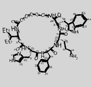 CCC(CC)C1CC(=O)N[C@@H](Cc2c[nH]cn2)C(=O)N[C@H](Cc2ccccc2)C(=O)N[C@@H](CCCN)C(=O)N[C@@H](Cc2c[nH]c3ccccc23)C(=O)NCCCCCC(=O)N1